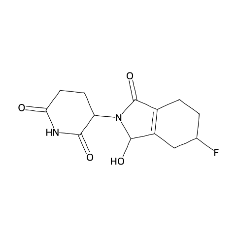 O=C1CCC(N2C(=O)C3=C(CC(F)CC3)C2O)C(=O)N1